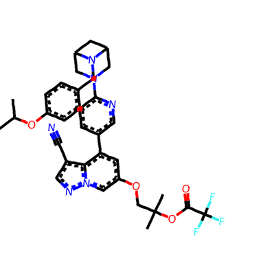 CC(C)Oc1ccc(CN2C3CC2CN(c2ccc(-c4cc(OCC(C)(C)OC(=O)C(F)(F)F)cn5ncc(C#N)c45)cn2)C3)cc1